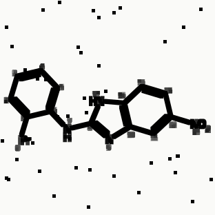 CC(C)c1ccccc1Nc1nc2cc([N+](=O)[O-])ccc2[nH]1